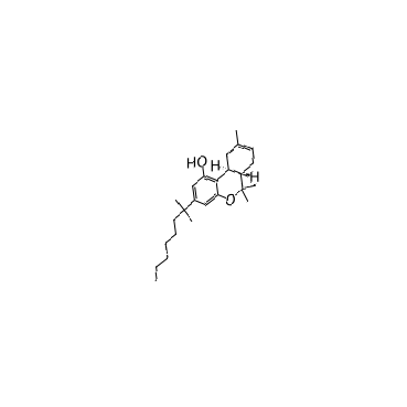 CCCCCCC(C)(C)c1cc(O)c2c(c1)OC(C)(C)[C@H]1CC=C(C)C[C@H]21